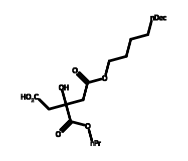 CCCCCCCCCCCCCCOC(=O)CC(O)(CC(=O)O)C(=O)OCCC